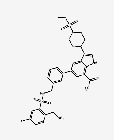 CCS(=O)(=O)N1CCC(c2c[nH]c3c(C(N)=O)cc(-c4cccc(CNS(=O)(=O)c5cc(F)ccc5CN)c4)cc23)CC1